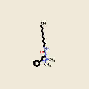 CCCCCCCCCCNC(=O)/N=c1\cc(-c2ccccc2)n(C)n1C